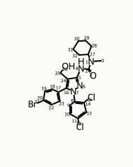 CN(C(=O)Nc1nn(-c2ccc(Cl)cc2Cl)c(-c2ccc(Br)cc2)c1CO)C1CCCCC1